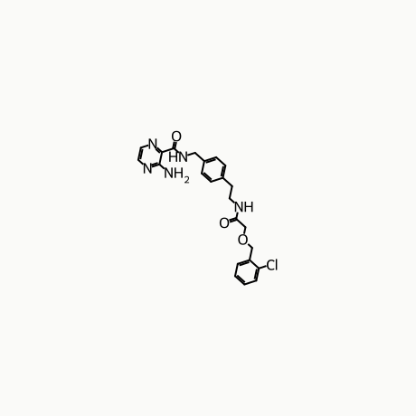 Nc1nccnc1C(=O)NCc1ccc(CCNC(=O)COCc2ccccc2Cl)cc1